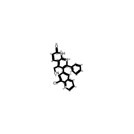 N#CCc1c(-c2cc(Cl)c3ncccc3c2)c(-c2ccccc2)nc2[nH]c(=O)ccc12